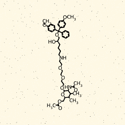 COc1ccc(C(OCC(O)CCCCNCCOCCOCCOC2OC(COC(C)=O)C(C)C(C)C2NC(C)=O)(c2ccccc2)c2ccc(OC)cc2)cc1